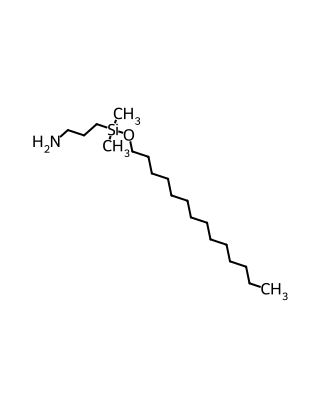 CCCCCCCCCCCCCCO[Si](C)(C)CCCN